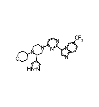 FC(F)(F)c1ccc2ncc(-c3nccc(N4CCN(C5CCOCC5)[C@H](c5cn[nH]c5)C4)n3)n2c1